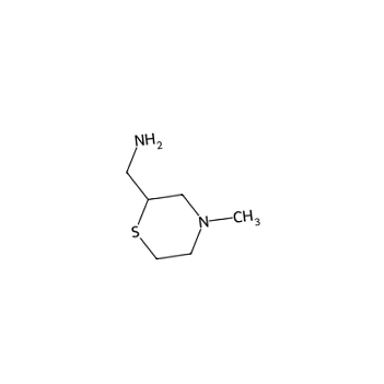 CN1CCSC(CN)C1